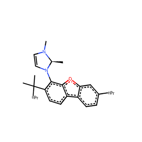 CCCc1ccc2c(c1)oc1c(N3C=CN(C)[C@H]3C)c(C(C)(C)CCC)ccc12